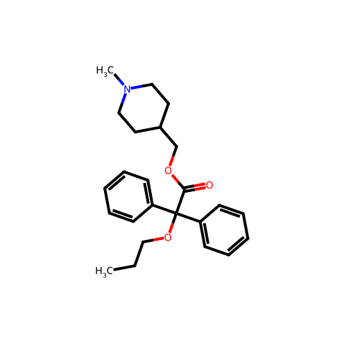 CCCOC(C(=O)OCC1CCN(C)CC1)(c1ccccc1)c1ccccc1